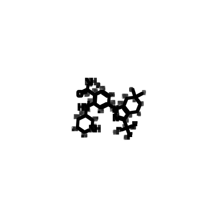 CC1(C)CCc2c(C(F)(F)F)nn(-c3ccc(C(N)=O)c(NC4CCCNC4)c3)c2C1